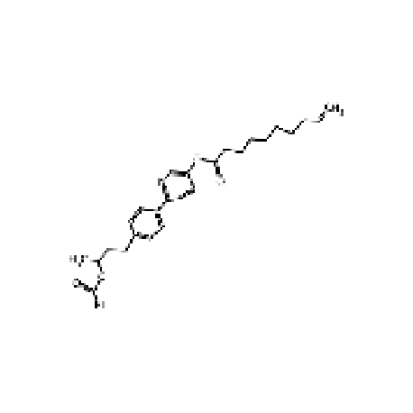 C=CCCCCCCCC(=O)Oc1ccc(-c2ccc(CCC(C)OC(=O)CC)cc2)nc1